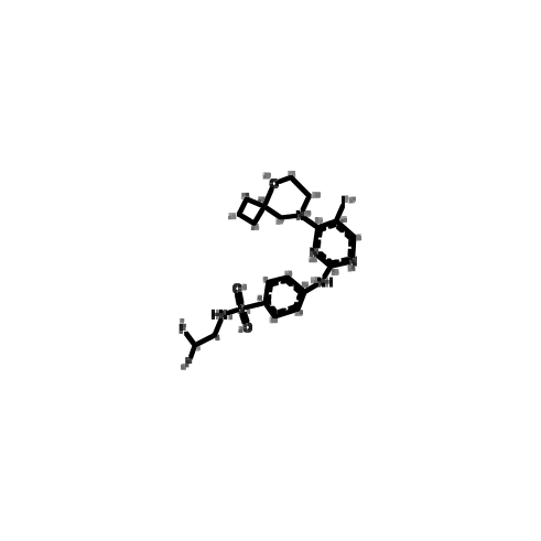 O=S(=O)(NCC(F)F)c1ccc(Nc2ncc(F)c(N3CCOC4(CCC4)C3)n2)cc1